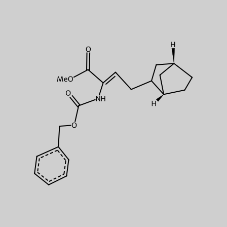 COC(=O)/C(=C/CC1C[C@@H]2CC[C@H]1C2)NC(=O)OCc1ccccc1